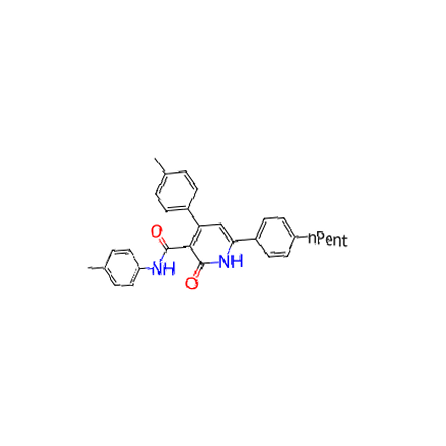 CCCCCc1ccc(-c2cc(-c3ccc(C)cc3)c(C(=O)Nc3ccc(C)cc3)c(=O)[nH]2)cc1